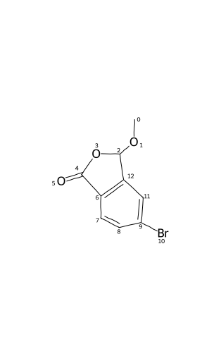 COC1OC(=O)c2ccc(Br)cc21